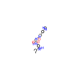 C=C/C=C(\C=C/C)c1n[nH]c2ccc(NC(=O)[C@]3(COC)CCN(CC(=O)N4CC=C(c5ccc(-c6ncccn6)cc5)CC4)C3)cc12